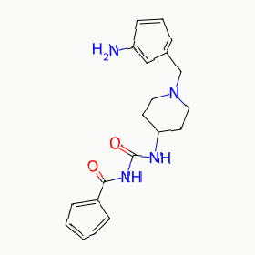 Nc1cccc(CN2CCC(NC(=O)NC(=O)c3ccccc3)CC2)c1